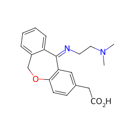 CN(C)CCN=C1c2ccccc2COc2ccc(CC(=O)O)cc21